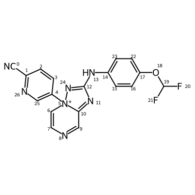 N#Cc1ccc([N+]23C=CN=CC2=NC(Nc2ccc(OC(F)F)cc2)=N3)cn1